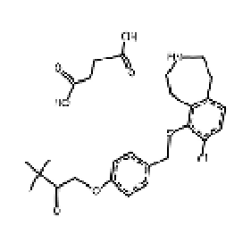 CC(C)(C)C(=O)COc1ccc(CSc2c(Cl)ccc3c2CCNCC3)cc1.O=C(O)CCC(=O)O